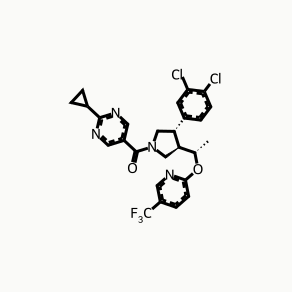 C[C@H](Oc1ccc(C(F)(F)F)cn1)[C@H]1CN(C(=O)c2cnc(C3CC3)nc2)C[C@@H]1c1ccc(Cl)c(Cl)c1